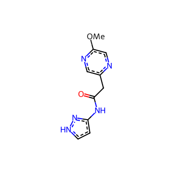 COc1cnc(CC(=O)Nc2cc[nH]n2)cn1